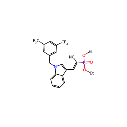 CCOP(=O)(OCC)/C(C#N)=C/c1cn(Cc2cc(C(F)(F)F)cc(C(F)(F)F)c2)c2ccccc12